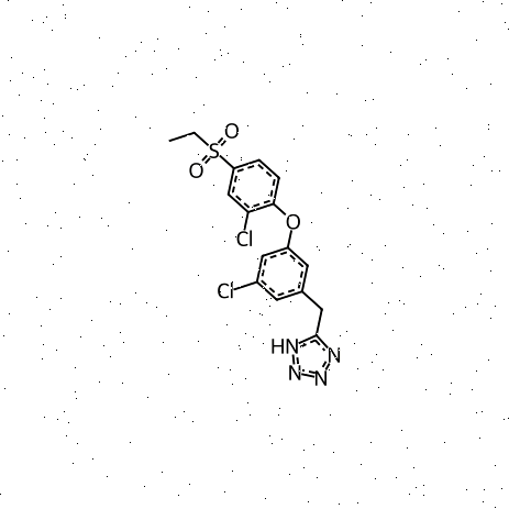 CCS(=O)(=O)c1ccc(Oc2cc(Cl)cc(Cc3nnn[nH]3)c2)c(Cl)c1